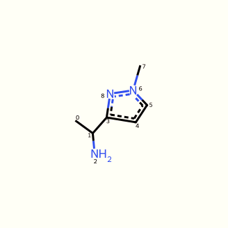 CC(N)c1ccn(C)n1